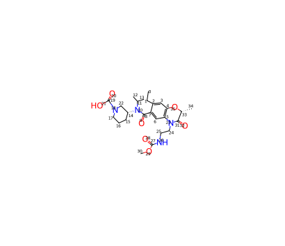 CCc1cc2c(cc1C(=O)N(C(C)C)[C@@H]1CCCN(C(=O)O)C1)N(CCNC(=O)OC)C(=O)[C@@H](C)O2